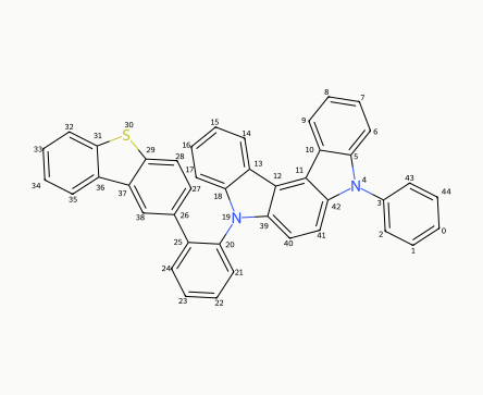 c1ccc(-n2c3ccccc3c3c4c5ccccc5n(-c5ccccc5-c5ccc6sc7ccccc7c6c5)c4ccc32)cc1